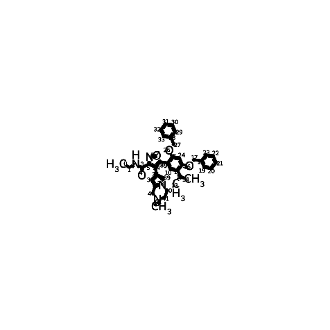 CCNC(=O)c1noc(-c2cc(C(C)C)c(OCc3ccccc3)cc2OCc2ccccc2)c1-c1cc2n(c1)CCN(C)C2